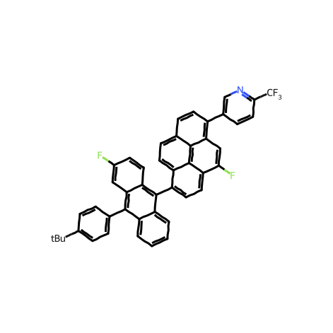 CC(C)(C)c1ccc(-c2c3ccccc3c(-c3ccc4c(F)cc5c(-c6ccc(C(F)(F)F)nc6)ccc6ccc3c4c65)c3ccc(F)cc23)cc1